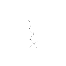 CC(C)(C)CNCCI